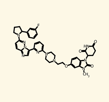 Cn1c(=O)n(C2CCC(=O)NC2=O)c2ccc(OCCN3CCN(c4cccc(-c5cnc6ccc(N7CCCC7c7cccc(F)c7)nn56)n4)CC3)cc21